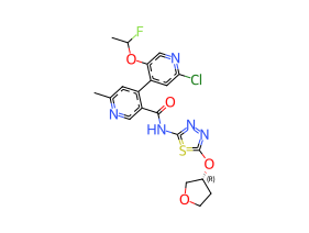 Cc1cc(-c2cc(Cl)ncc2OC(C)F)c(C(=O)Nc2nnc(O[C@@H]3CCOC3)s2)cn1